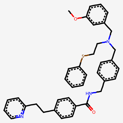 COc1cccc(CN(CCSc2ccccc2)Cc2ccc(CNC(=O)c3ccc(CCc4ccccn4)cc3)cc2)c1